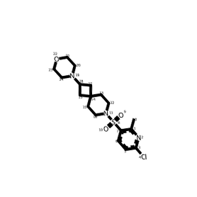 Cc1nc(Cl)ccc1S(=O)(=O)N1CCC2(CC1)CC(N1CCOCC1)C2